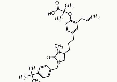 C=CCc1cc(CCC[C@H]2CN(Cc3ccc(C(C)(C)C)cc3)C(=O)N2C)ccc1OC(C)(C)C(=O)O